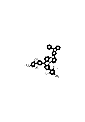 Cc1cc(C)c(-c2ccc(C3c4ccc(-c5c(C)cc(C)cc5C)cc4B4c5c3cccc5-n3c5cc6c(cc5c5cccc4c53)-c3ccccc3C6c3ccccc3)cc2)c(C)c1